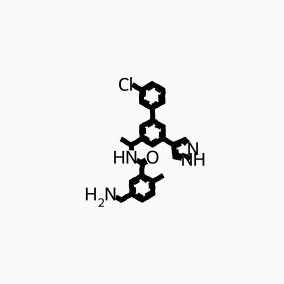 Cc1ccc(CN)cc1C(=O)NC(C)c1cc(-c2cn[nH]c2)cc(-c2cccc(Cl)c2)c1